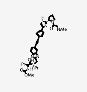 CCCN(Cc1nc2cc(C#Cc3ccc(-c4c[nH]c([C@@H]5CCCN5C(=O)CNC)n4)cc3)ccc2[nH]1)C(=O)C(NC(=O)OC)C(C)C